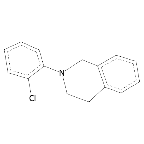 Clc1ccccc1N1CCc2ccccc2C1